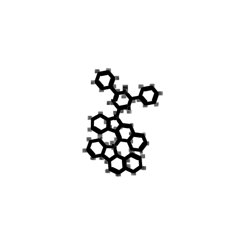 C1=CCC2C(=C1)C=c1c(c3c(n1C1=NC(c4ccccc4)NC(c4ccccc4)=N1)CCC=C3)=C2N1C2CCC=CC2C2C=CC3=C(C=CCC3)C21